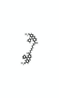 Nc1ccc2c(c1)N(c1ccccc1)C1C=C(NCCCCCCCCNc3ccc4nc5ccc(N)cc5[n+](-c5ccccc5)c4c3)C=CC1=N2